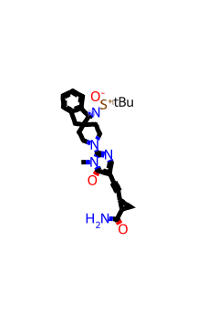 Cn1c(N2CCC3(CC2)Cc2ccccc2/C3=N\[S+]([O-])C(C)(C)C)ncc(C#CC2CC2C(N)=O)c1=O